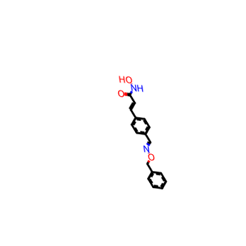 O=C(/C=C/c1ccc(/C=N/OCc2ccccc2)cc1)NO